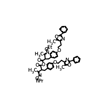 CCCON=C(C)C(Cc1ccc(OCCc2nc(-c3ccccc3)oc2C)cc1)C(=O)OC(=O)C(Cc1ccc(OCCc2nc(-c3ccccc3)oc2C)cc1)C(C)=NOCC